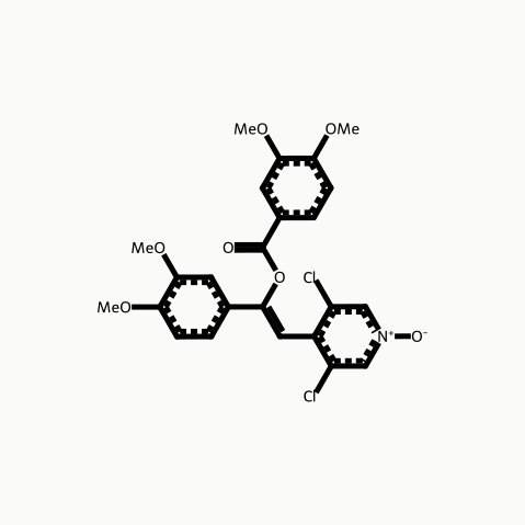 COc1ccc(C(=O)OC(=Cc2c(Cl)c[n+]([O-])cc2Cl)c2ccc(OC)c(OC)c2)cc1OC